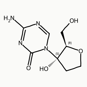 Nc1ncn([C@]2(O)CCO[C@@H]2CO)c(=O)n1